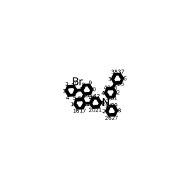 Brc1ccccc1-c1ccccc1-c1ccccc1-c1ccc(N(c2ccccc2)c2ccc(-c3ccccc3)cc2)cc1